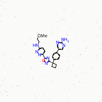 COCCNc1ccc(-c2nc(C3(c4ccc(-c5cnc(N)nc5)cc4)CCC3)no2)nn1